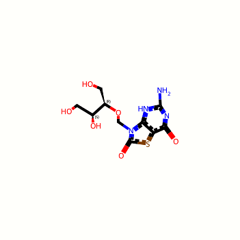 Nc1nc(=O)c2sc(=O)n(CO[C@H](CO)[C@@H](O)CO)c2[nH]1